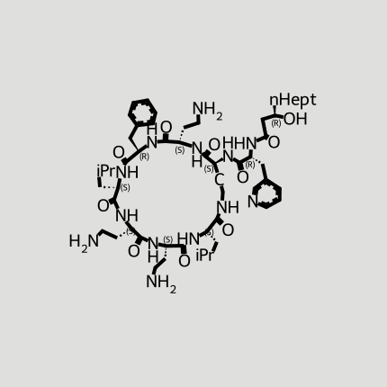 CCCCCCC[C@@H](O)CC(=O)N[C@H](Cc1cccnc1)C(=O)N[C@H]1CCNC(=O)[C@H](CC(C)C)NC(=O)[C@H](CCN)NC(=O)[C@H](CCN)NC(=O)[C@H](CC(C)C)NC(=O)[C@@H](Cc2ccccc2)NC(=O)[C@H](CCN)NC1=O